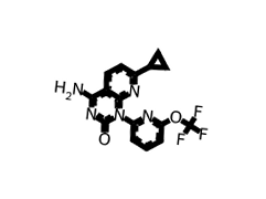 Nc1nc(=O)n(-c2cccc(OC(F)(F)F)n2)c2nc(C3CC3)ccc12